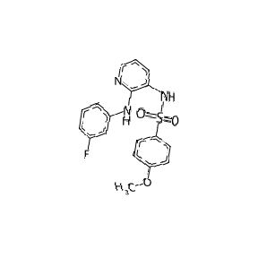 COc1ccc(S(=O)(=O)Nc2cccnc2Nc2cccc(F)c2)cc1